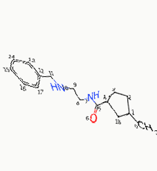 CC1CCC(C(=O)NCCNCc2ccccc2)C1